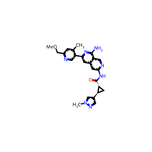 COCc1cc(C)c(-c2cc3cc(NC(=O)[C@@H]4C[C@H]4c4cnn(C)c4)ncc3c(N)n2)cn1